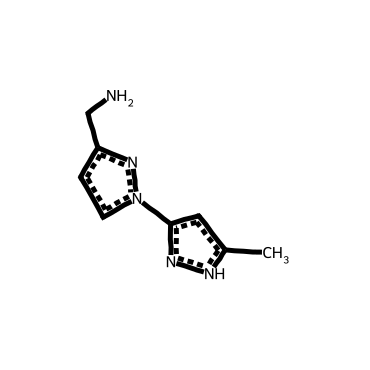 Cc1cc(-n2ccc(CN)n2)n[nH]1